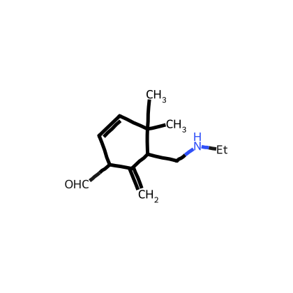 C=C1C(C=O)C=CC(C)(C)C1CNCC